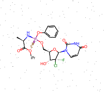 CC(C)OC(=O)[C@@H](C)N[P@](=S)(OC[C@H]1O[C@@H](n2ccc(=O)[nH]c2=O)[C@@](F)(Cl)[C@@H]1O)Oc1ccccc1